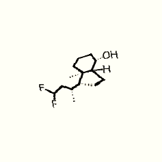 C[C@H](CC(F)F)[C@H]1CC[C@H]2[C@@H](O)CCC[C@]12C